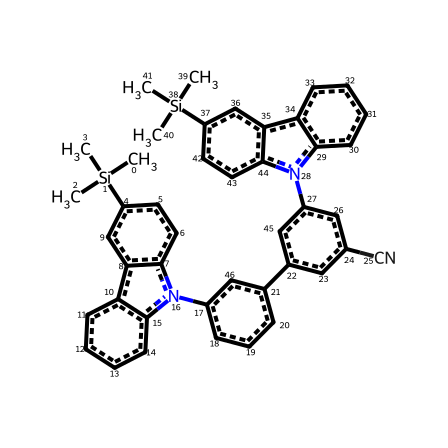 C[Si](C)(C)c1ccc2c(c1)c1ccccc1n2-c1cccc(-c2cc(C#N)cc(-n3c4ccccc4c4cc([Si](C)(C)C)ccc43)c2)c1